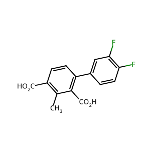 Cc1c(C(=O)O)ccc(-c2ccc(F)c(F)c2)c1C(=O)O